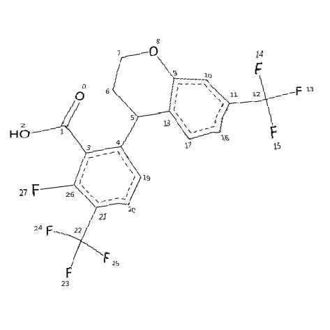 O=C(O)c1c(C2CCOc3cc(C(F)(F)F)ccc32)ccc(C(F)(F)F)c1F